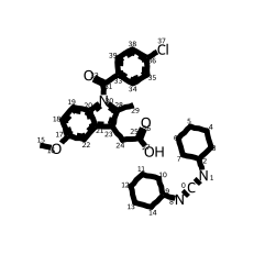 C(=NC1CCCCC1)=NC1CCCCC1.COc1ccc2c(c1)c(CC(=O)O)c(C)n2C(=O)c1ccc(Cl)cc1